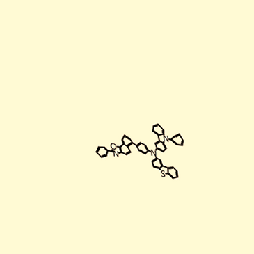 c1ccc(-c2nc3ccc4c(-c5ccc(N(c6ccc7sc8ccccc8c7c6)c6ccc7c(c6)c6ccccc6n7-c6ccccc6)cc5)cccc4c3o2)cc1